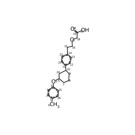 Cc1ccc(OC2CCCC(c3ccc(CCOCC(=O)O)cc3)C2)cc1